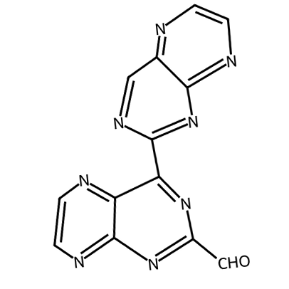 O=Cc1nc(-c2ncc3nccnc3n2)c2nccnc2n1